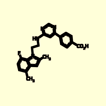 Cc1ccc(F)c2c1cc(C)n2CCNc1cc(-c2ccc(C(=O)O)cc2)ncn1